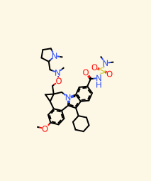 COc1ccc2c(c1)C1CC1(CON(C)CC1CCCN1C)Cn1c-2c(C2CCCCC2)c2ccc(C(=O)NS(=O)(=O)N(C)C)cc21